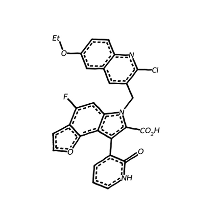 CCOc1ccc2nc(Cl)c(Cn3c(C(=O)O)c(-c4ccc[nH]c4=O)c4c5occc5c(F)cc43)cc2c1